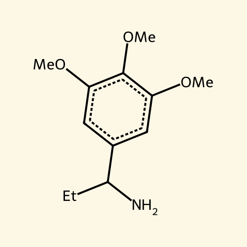 CCC(N)c1cc(OC)c(OC)c(OC)c1